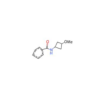 COC1CC(NC(=O)c2ccccc2)C1